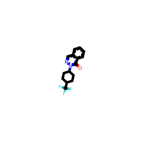 O=c1c2ccccc2cnn1C1CCC(C(F)(F)F)CC1